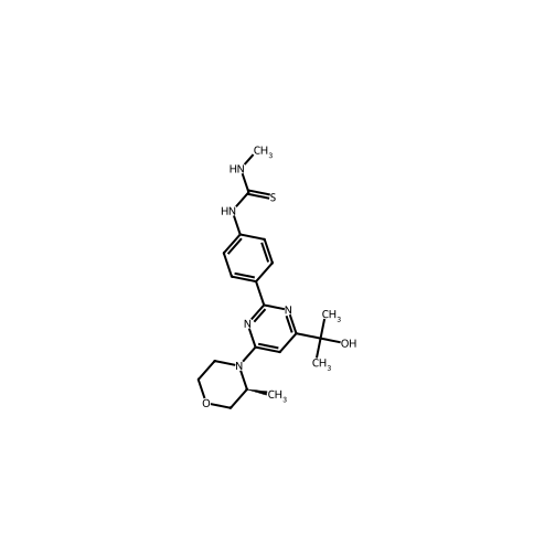 CNC(=S)Nc1ccc(-c2nc(N3CCOC[C@@H]3C)cc(C(C)(C)O)n2)cc1